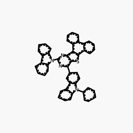 c1ccc(-n2c3ccccc3c3cc(-c4nc(-n5c6ccccc6c6ccccc65)nc5c4sc4c6ccccc6c6ccccc6c54)ccc32)cc1